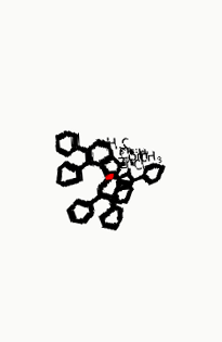 C[SiH](C)[Zr]([Cl])([Cl])([CH]1C(c2ccccc2)=Cc2c1ccc(-c1ccccc1)c2-c1ccccc1)[CH]1C(c2ccccc2)=Cc2c1ccc(-c1ccccc1)c2-c1ccccc1